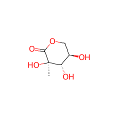 C[C@]1(O)C(=O)OC[C@@H](O)[C@@H]1O